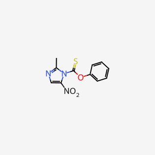 Cc1ncc([N+](=O)[O-])n1C(=S)Oc1ccccc1